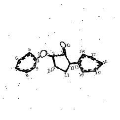 O=C1C(Oc2cc[c]cc2)CCC1c1ccccc1